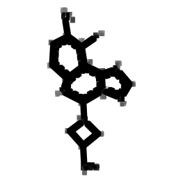 CNC1CN(c2nc3ccc(C(F)(F)F)c(F)c3c3ncnn23)C1